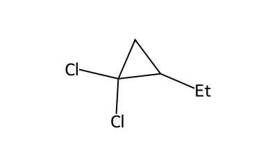 [CH2]CC1CC1(Cl)Cl